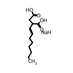 CCCCCCC=CC(CC(=O)O)C(=O)O.[NaH]